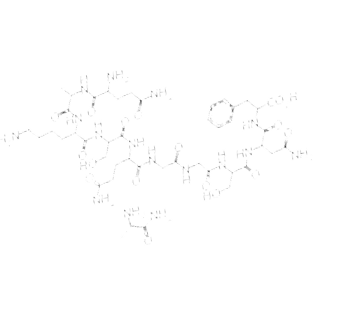 CC(N)C(N)=O.CC(NC(=O)C(N)CCC(N)=O)C(=O)NC(CCCCN)C(=O)NC(CO)C(=O)NC(CCC(N)=O)C(=O)NCC(=O)NCC(=O)NC(CO)C(=O)NC(CC(N)=O)C(=O)NC(Cc1ccccc1)C(=O)O